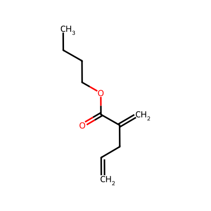 C=CCC(=C)C(=O)OCCCC